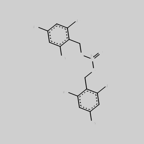 CC(C)c1cc(C(C)C)c(CO[PH](=O)OCc2c(C(C)C)cc(C(C)C)cc2C(C)C)c(C(C)C)c1